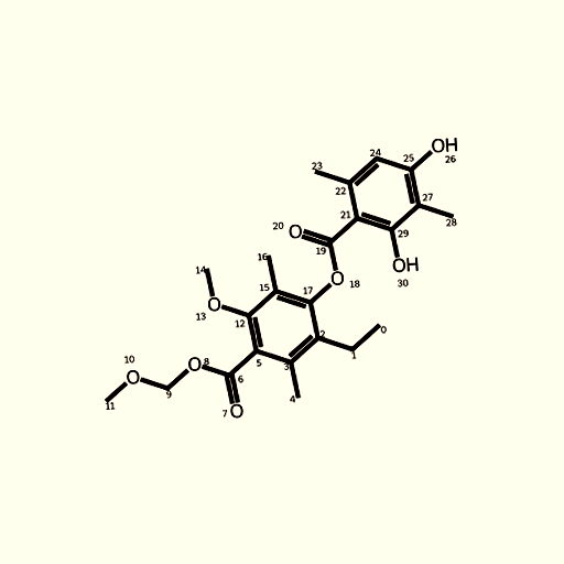 CCc1c(C)c(C(=O)OCOC)c(OC)c(C)c1OC(=O)c1c(C)cc(O)c(C)c1O